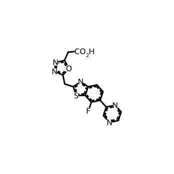 O=C(O)Cc1nnc(Cc2nc3ccc(-c4cnccn4)c(F)c3s2)o1